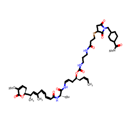 C/C=C\C[C@@H](C/C=C\NC(=O)[C@@H](NC(=O)\C=C/C=C\C(C)=C\[C@H](C)[C@@H]1CC=C(OC)C(=O)O1)C(C)(C)C)OC(=O)NCCCNC(=O)CCSC1CC(=O)N(CC2CCC(C(=O)NC)CC2)C1=O